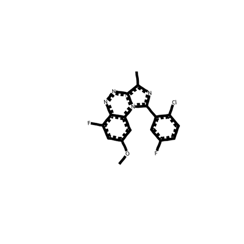 COc1cc(F)c2nnc3c(C)nc(-c4cc(F)ccc4Cl)n3c2c1